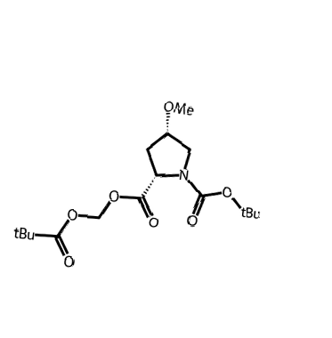 CO[C@H]1C[C@@H](C(=O)OCOC(=O)C(C)(C)C)N(C(=O)OC(C)(C)C)C1